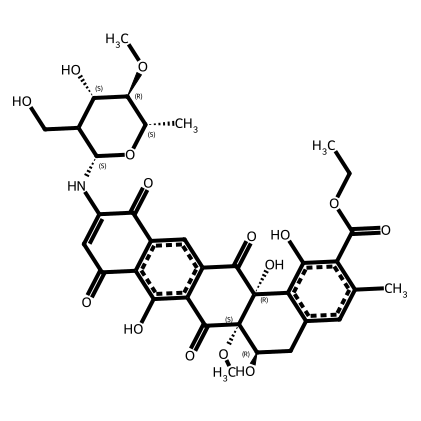 CCOC(=O)c1c(C)cc2c(c1O)[C@]1(O)C(=O)c3cc4c(c(O)c3C(=O)[C@]1(OC)[C@H](O)C2)C(=O)C=C(N[C@H]1O[C@@H](C)[C@H](OC)[C@@H](O)C1CO)C4=O